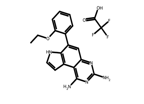 CCOc1ccccc1-c1cc2nc(N)nc(N)c2c2cc[nH]c12.O=C(O)C(F)(F)F